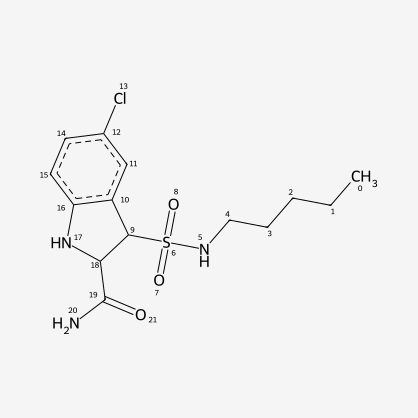 CCCCCNS(=O)(=O)C1c2cc(Cl)ccc2NC1C(N)=O